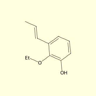 CC=Cc1cccc(O)c1OCC